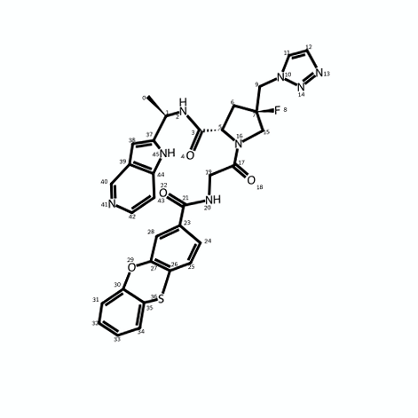 C[C@@H](NC(=O)[C@@H]1C[C@](F)(Cn2ccnn2)CN1C(=O)CNC(=O)c1ccc2c(c1)Oc1ccccc1S2)c1cc2cnccc2[nH]1